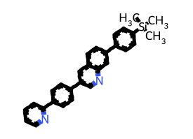 C[Si](C)(C)c1ccc(-c2ccc3cc(-c4ccc(-c5ccccn5)cc4)cnc3c2)cc1